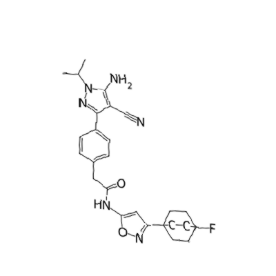 CC(C)n1nc(-c2ccc(CC(=O)Nc3cc(C45CCC(F)(CC4)CC5)no3)cc2)c(C#N)c1N